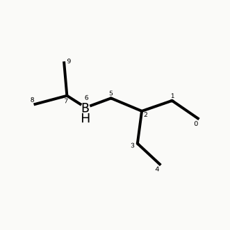 CCC(CC)CBC(C)C